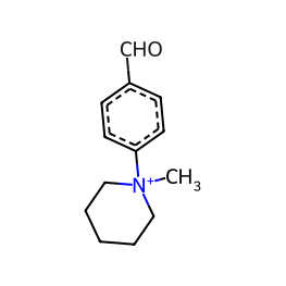 C[N+]1(c2ccc(C=O)cc2)CCCCC1